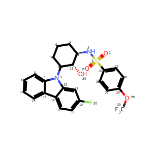 O=S(=O)(N[C@@H]1CCCC(n2c3ccccc3c3ccc(F)cc32)[C@H]1O)c1ccc(OC(F)(F)F)cc1